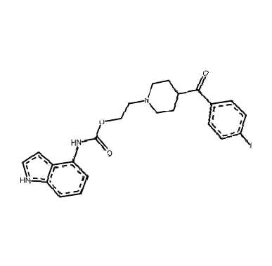 O=C(Nc1cccc2[nH]ccc12)OCCN1CCC(C(=O)c2ccc(I)cc2)CC1